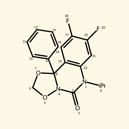 CC(C)N1C(=O)N2OCOC2(c2ccccc2)c2cc(F)c(F)cc21